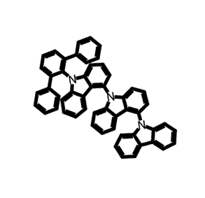 c1ccc(-c2cccc(-c3ccccc3)c2-n2c3ccccc3c3c(-n4c5ccccc5c5c(-n6c7ccccc7c7ccccc76)cccc54)cccc32)cc1